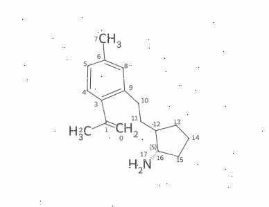 C=C(C)c1ccc(C)cc1CCC1CCC[C@@H]1N